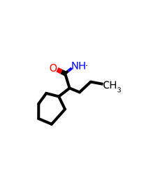 CCCC(C([NH])=O)C1CCCCC1